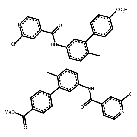 COC(=O)c1ccc(-c2cc(NC(=O)c3ccnc(Cl)c3)ccc2C)cc1.Cc1ccc(NC(=O)c2ccnc(Cl)c2)cc1-c1ccc(C(=O)O)cc1